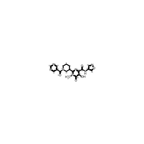 Cn1c(C2CCCN(C(=O)c3cncnc3)C2)nc(C(=O)Nc2cnoc2)c(O)c1=O